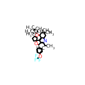 CC(C)c1nc2c(c3c1[C@@H](c1ccc(OC(F)(F)F)cc1)OC31CCCC1)C(O[Si](C)(C)C(C)(C)C)CC(C)(C)C2